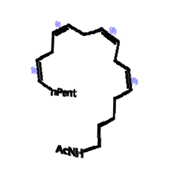 CCCCC/C=C\C/C=C\C/C=C\C/C=C\CCCCNC(C)=O